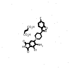 CCc1c(N)c(N2CCC(c3noc4cc(F)ccc34)CC2)cc2c1C(=O)NC2=O.O=C(O)C=CC(=O)O